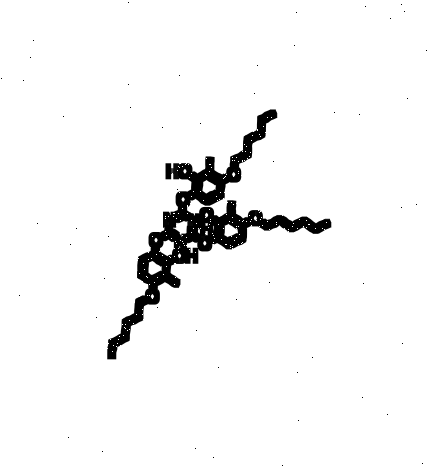 CCCCCCOc1ccc(Oc2nc(Oc3ccc(OCCCCCC)c(C)c3O)nc(Oc3ccc(OCCCCCC)c(C)c3O)n2)c(O)c1C